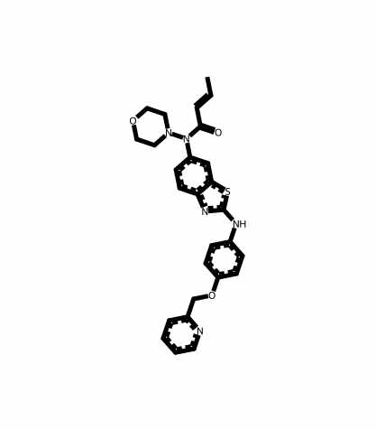 CC=CC(=O)N(c1ccc2nc(Nc3ccc(OCc4ccccn4)cc3)sc2c1)N1CCOCC1